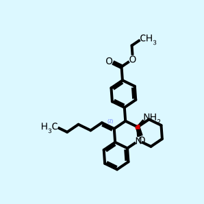 CCCC/C=C(\c1ccccc1N1CCCCC1)C(C(N)=O)c1ccc(C(=O)OCC)cc1